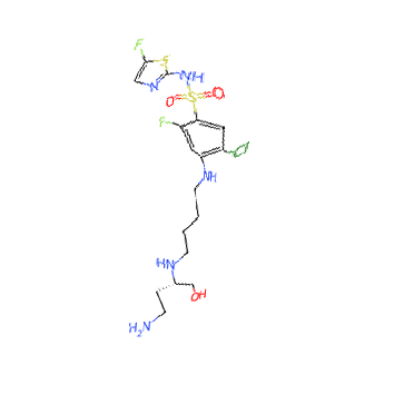 NCC[C@@H](CO)NCCCCNc1cc(F)c(S(=O)(=O)Nc2ncc(F)s2)cc1Cl